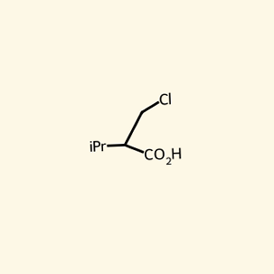 CC(C)C(CCl)C(=O)O